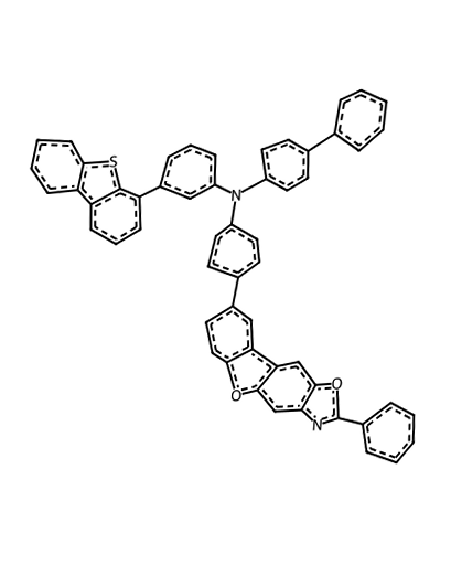 c1ccc(-c2ccc(N(c3ccc(-c4ccc5oc6cc7nc(-c8ccccc8)oc7cc6c5c4)cc3)c3cccc(-c4cccc5c4sc4ccccc45)c3)cc2)cc1